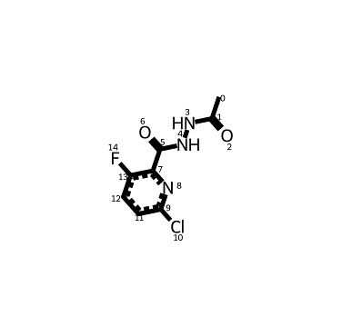 CC(=O)NNC(=O)c1nc(Cl)ccc1F